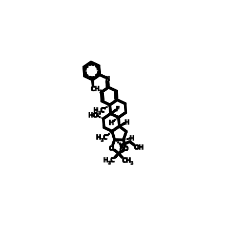 Cc1ccccc1/N=C1\C=C[C@@]2(C)C(=C1)CC[C@H]1[C@@H]3C[C@H]4OC(C)(C)O[C@@]4(C(=O)CO)[C@@]3(C)C[C@H](O)[C@@]12F